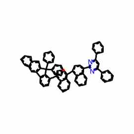 c1ccc(-c2cc(-c3ccccc3)nc(-c3ccc(-c4ccc(-c5cccc6c5C(c5ccccc5)(c5ccccc5)c5cc7ccccc7cc5-6)c5ccccc45)c4ccccc34)n2)cc1